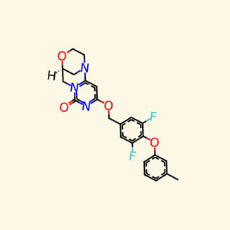 Cc1cccc(Oc2c(F)cc(COc3cc4n(c(=O)n3)C[C@@H]3CN4CCO3)cc2F)c1